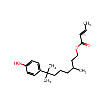 C/C=C/C(=O)OCCC(C)CCCC(C)(C)c1ccc(O)cc1